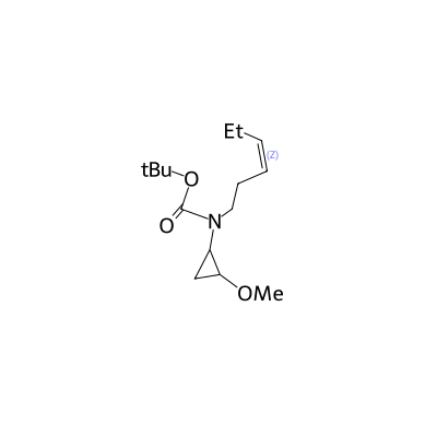 CC/C=C\CCN(C(=O)OC(C)(C)C)C1CC1OC